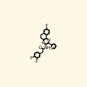 O=C(Cc1ccc(F)c(F)c1)Nc1nc2c(nc1-c1cccs1)-c1ccc(F)cc1CC2